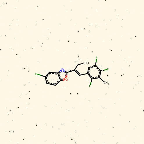 Cc1c(F)c(F)cc(C=C(CC=O)c2nc3cc(Cl)ccc3o2)c1F